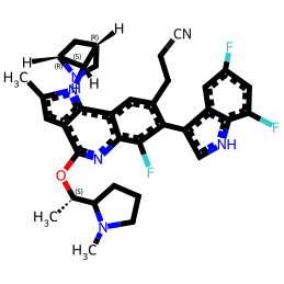 Cc1cc2c(O[C@@H](C)C3CCCN3C)nc3c(F)c(-c4c[nH]c5c(F)cc(F)cc45)c(CCC#N)cc3c2n1[C@H]1[C@H]2CN[C@@H]1C2